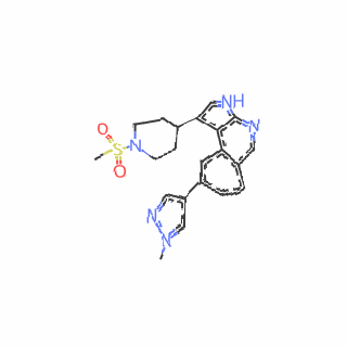 Cn1cc(-c2ccc3cnc4[nH]cc(C5CCN(S(C)(=O)=O)CC5)c4c3c2)cn1